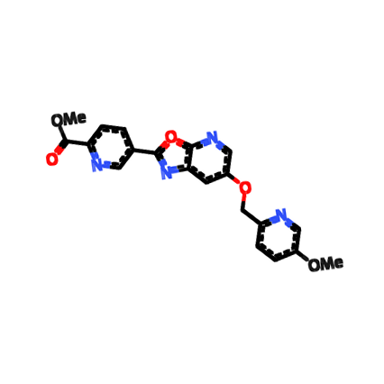 COC(=O)c1ccc(-c2nc3cc(OCc4ccc(OC)cn4)cnc3o2)cn1